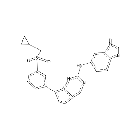 O=S(=O)(CC1CC1)c1cccc(-c2ccc3cnc(Nc4ccc5nc[nH]c5c4)nn23)c1